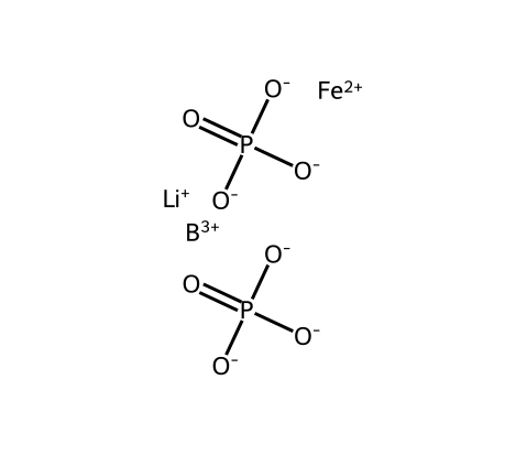 O=P([O-])([O-])[O-].O=P([O-])([O-])[O-].[B+3].[Fe+2].[Li+]